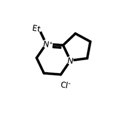 CC[N+]1=C2CCCN2CCC1.[Cl-]